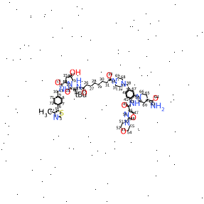 Cc1ncsc1-c1ccc(CNC(=O)[C@@H]2C[C@@H](O)CN2C(=O)[C@@H](NC(=O)CCCCCCC(=O)N2CCN(Cc3ccc(NC(=O)c4coc(N5CCOCC5)n4)c(N4CCC(C(N)=O)CC4)c3)CC2)C(C)(C)C)cc1